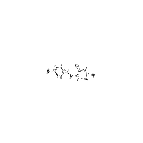 Fc1cc(Br)ccc1/N=N/c1ccc(Br)cc1